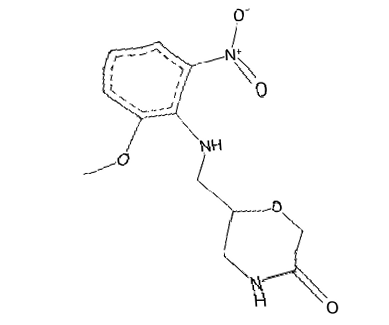 COc1cccc([N+](=O)[O-])c1NCC1CNC(=O)CO1